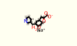 O.O=C([O-])c1cc2cc(Cc3cccnc3)ccc2o1.[Na+]